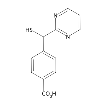 O=C(O)c1ccc(C(S)c2ncccn2)cc1